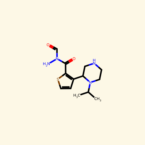 CC(C)N1CCNCC1c1ccsc1C(=O)N(N)C=O